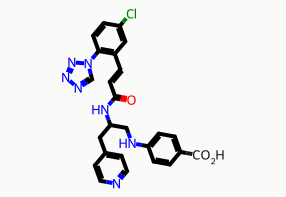 O=C(/C=C/c1cc(Cl)ccc1-n1cnnn1)NC(CNc1ccc(C(=O)O)cc1)Cc1ccncc1